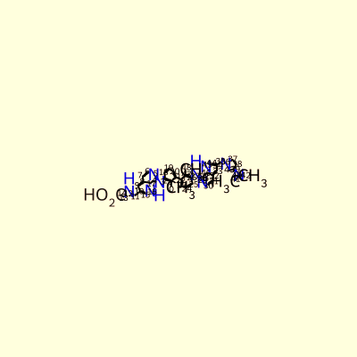 Cc1c(Nc2nccc3cc(CNCC(=O)O)cnc23)cccc1-c1cccc(Nc2nccc3cc(CN4CC[C@H](N(C)C)C4)cnc23)c1C